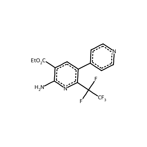 CCOC(=O)c1cc(-c2ccncc2)c(C(F)(F)C(F)(F)F)nc1N